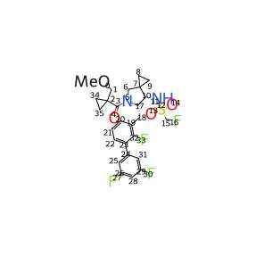 COCC1(C(=O)N2CC3(CC3)[C@H](NS(=O)(=O)CF)[C@@H]2Cc2cccc(-c3cc(F)cc(F)c3)c2F)CC1